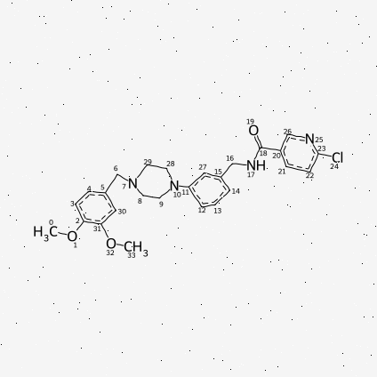 COc1ccc(CN2CCN(c3cccc(CNC(=O)c4ccc(Cl)nc4)c3)CC2)cc1OC